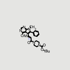 COc1ncnc2c1c(/C=C/C(=O)N1CCN(C(=O)OC(C)(C)C)CC1)c(-c1ccccc1)n2C